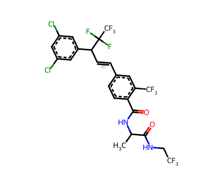 CC(NC(=O)c1ccc(/C=C/C(c2cc(Cl)cc(Cl)c2)C(F)(F)C(F)(F)F)cc1C(F)(F)F)C(=O)NCC(F)(F)F